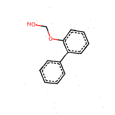 OCOc1ccccc1-c1ccccc1